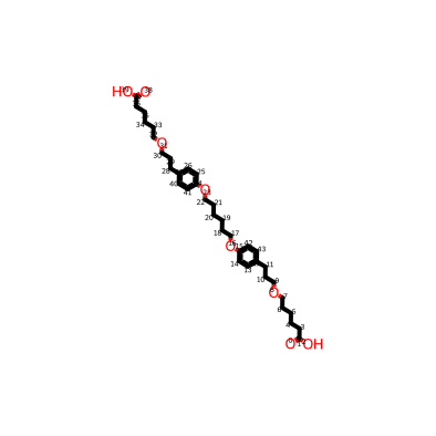 O=C(O)CCCCCOCCCc1ccc(OCCCCCCOc2ccc(CCCOCCCCCC(=O)O)cc2)cc1